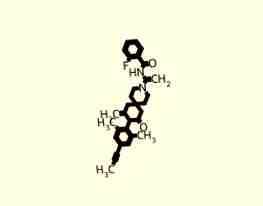 C=C1CC2(CCN(C(=C)NC(=O)c3ccccc3F)CC2)CC(=O)C1c1c(C)cc(C#CC)cc1C